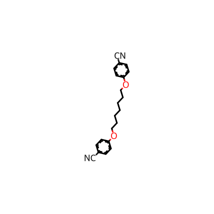 N#Cc1ccc(OCCCCCCCOc2ccc(C#N)cc2)cc1